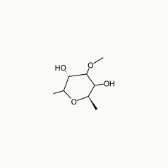 COC1C(O)[C@@H](C)OC(C)[C@@H]1O